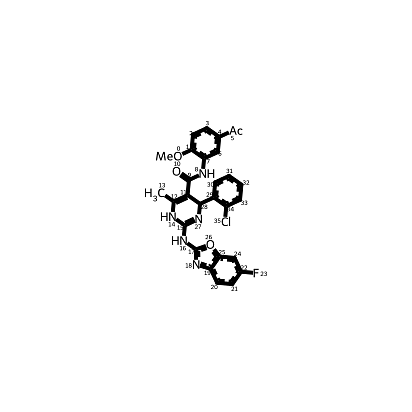 COc1ccc(C(C)=O)cc1NC(=O)C1=C(C)NC(Nc2nc3ccc(F)cc3o2)=NC1c1ccccc1Cl